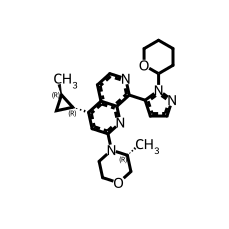 C[C@@H]1C[C@H]1c1cc(N2CCOC[C@H]2C)nc2c(-c3ccnn3C3CCCCO3)nccc12